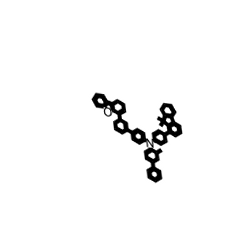 CC1CC(c2ccccc2)=CC=C1N(C1=CCC(c2cccc3c2C(C)(C)C2=C3C=CCC2)C=C1)c1ccc(C2=CC(C3=CCCc4c3oc3ccccc43)CC=C2)cc1